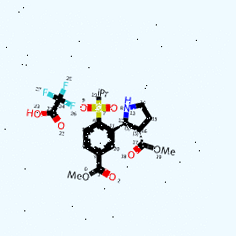 COC(=O)c1ccc(S(=O)(=O)C(C)C)c([C@H]2NCC[C@@H]2C(=O)OC)c1.O=C(O)C(F)(F)F